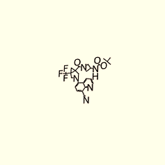 CC(C)(C)OC(=O)NC1CN(C(=O)C23CN(c4ccc(C#N)c5ncccc45)CC2(C(F)(F)F)C3)C1